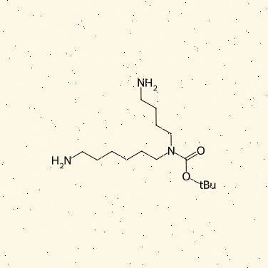 CC(C)(C)OC(=O)N(CCCCN)CCCCCCN